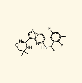 Cc1cc(F)cc([C@@H](C)Nc2ccn3ncc(C4=NOCC(C)(C)N4)c3n2)c1F